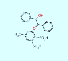 Cc1ccc(S(=O)(=O)O)c(S(=O)(=O)O)c1.O=C(c1ccccc1)C(O)c1ccccc1